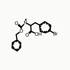 CN(C(=O)OCc1ccccc1)C(Cc1ccc(Br)cc1)C(=O)O